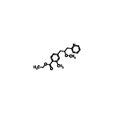 CCOC(=O)c1ccc(CC(Cc2ccccn2)OC)cc1C